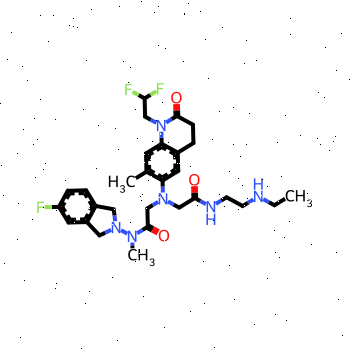 CCNCCNC(=O)CN(CC(=O)N(C)N1Cc2ccc(F)cc2C1)c1cc2c(cc1C)N(CC(F)F)C(=O)CC2